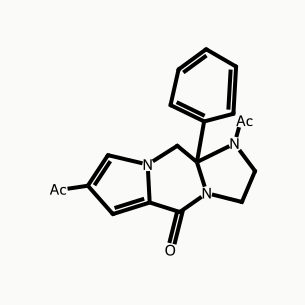 CC(=O)c1cc2n(c1)CC1(c3ccccc3)N(C(C)=O)CCN1C2=O